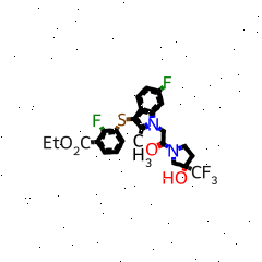 CCOC(=O)c1cccc(Sc2c(C)n(CC(=O)N3CCC(O)(C(F)(F)F)C3)c3cc(F)ccc23)c1F